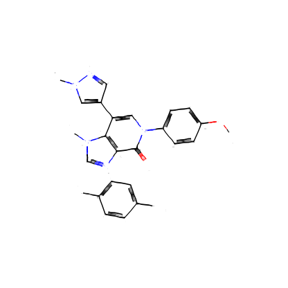 Cc1ccc(S(=O)(=O)O)cc1.Cn1cc(-c2cn(-c3ccc(OC(F)(F)F)cc3)c(=O)c3ncn(C)c23)cn1